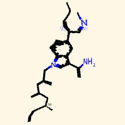 C=C(CC(C)C[C@@H](C)CC)Cn1cc(C(=C)N)c2cc(C(/C=N\C)=C/CC)ccc21